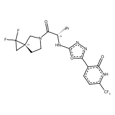 CC(C)[C@H](Nc1nnc(-c2ccc(C(F)(F)F)[nH]c2=O)o1)C(=O)N1CC[C@@]2(C1)CC2(F)F